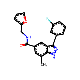 Cc1cc(C(=O)NCc2ccco2)cc2c(-c3cccc(F)c3)n[nH]c12